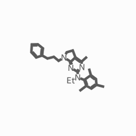 CCN(c1nc(C)c2c(n1)N(CCCc1ccccc1)CC2)c1c(C)cc(C)cc1C